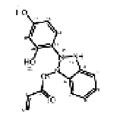 C=CC(=O)ON1c2ccccc2NN1c1ccc(O)cc1O